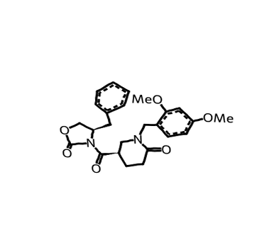 COc1ccc(CN2C[C@H](C(=O)N3C(=O)OC[C@H]3Cc3ccccc3)CCC2=O)c(OC)c1